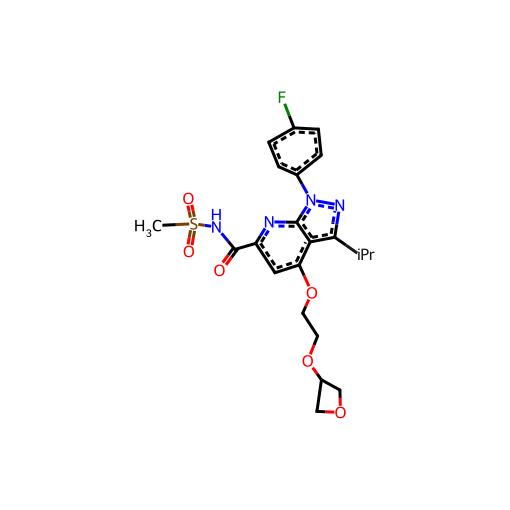 CC(C)c1nn(-c2ccc(F)cc2)c2nc(C(=O)NS(C)(=O)=O)cc(OCCOC3COC3)c12